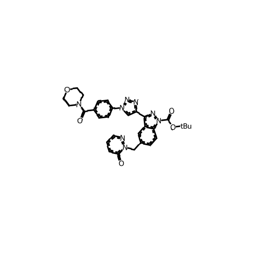 CC(C)(C)OC(=O)n1nc(-c2cn(-c3ccc(C(=O)N4CCOCC4)cc3)nn2)c2cc(Cn3ncccc3=O)ccc21